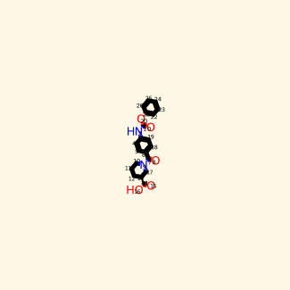 O=C(Nc1ccc(C(=O)N2CCC[C@H](C(=O)O)C2)cc1)Oc1ccccc1